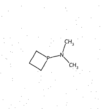 CN(C)P1CCC1